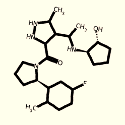 CC1CCC(F)CC1[C@H]1CCCN1C(=O)C1NNC(C)C1C(C)N[C@@H]1CCC[C@H]1O